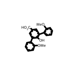 COc1ccccc1-c1cc(C(=O)O)cc(-c2ccccc2OC)c1O